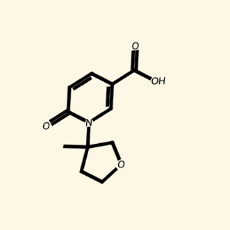 CC1(n2cc(C(=O)O)ccc2=O)CCOC1